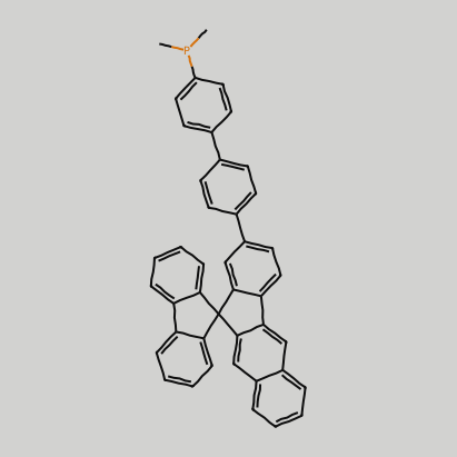 CP(C)c1ccc(-c2ccc(-c3ccc4c(c3)C3(c5ccccc5-c5ccccc53)c3cc5ccccc5cc3-4)cc2)cc1